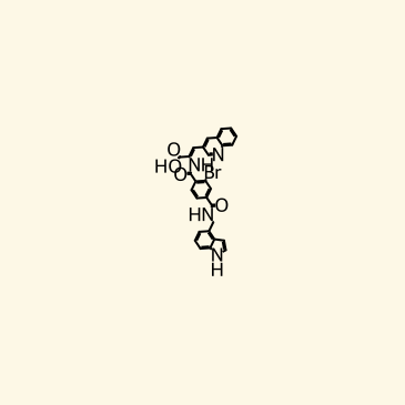 O=C(O)/C(=C/c1cnc2ccccc2c1)NC(=O)c1ccc(C(=O)NCc2cccc3[nH]ccc23)cc1Br